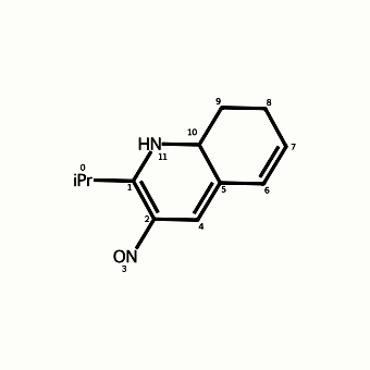 CC(C)C1=C(N=O)C=C2C=CCCC2N1